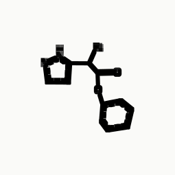 CCC(C(=O)Oc1ccccc1)c1ccn[nH]1